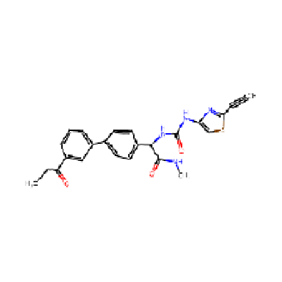 C#Cc1nc(NC(=O)N[C@@H](C(=O)NC)c2ccc(-c3cccc(C(=O)CC)c3)cc2)cs1